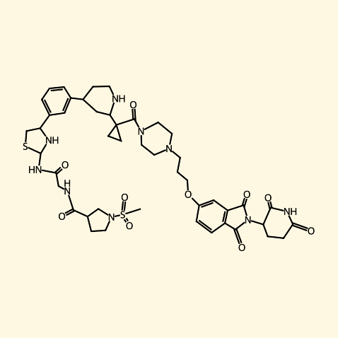 CS(=O)(=O)N1CCC(C(=O)NCC(=O)NC2NC(c3cccc(C4CCNC(C5(C(=O)N6CCN(CCCOc7ccc8c(c7)C(=O)N(C7CCC(=O)NC7=O)C8=O)CC6)CC5)C4)c3)CS2)C1